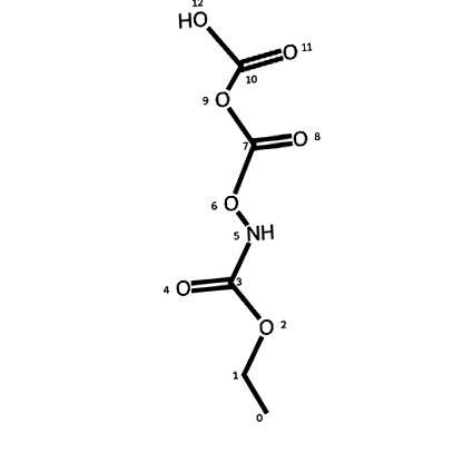 CCOC(=O)NOC(=O)OC(=O)O